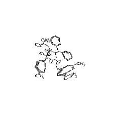 COC(=O)CNC(C(OCc1cc(C)cc(C)c1)OS(=O)(=O)c1ccc(C)cc1)C(c1ccccc1)c1ccccc1